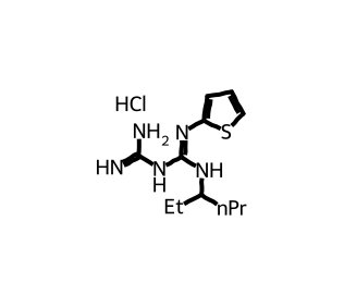 CCCC(CC)NC(=Nc1cccs1)NC(=N)N.Cl